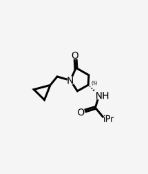 CC(C)C(=O)N[C@H]1CC(=O)N(CC2CC2)C1